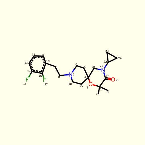 CC1(C)OC2(CCN(CCc3cccc(F)c3F)CC2)CN(C2CC2)C1=O